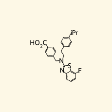 CC(C)c1ccc(CCN(Cc2ccc(C(=O)O)cc2)c2nc3cccc(F)c3s2)cc1